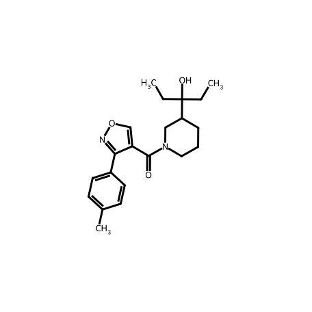 CCC(O)(CC)C1CCCN(C(=O)c2conc2-c2ccc(C)cc2)C1